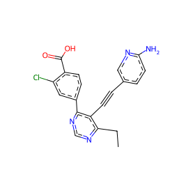 CCc1ncnc(-c2ccc(C(=O)O)c(Cl)c2)c1C#Cc1ccc(N)nc1